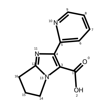 O=C(O)c1c(-c2ccccn2)nc2n1CCC2